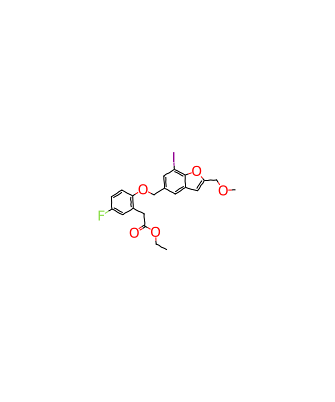 CCOC(=O)Cc1cc(F)ccc1OCc1cc(I)c2oc(COC)cc2c1